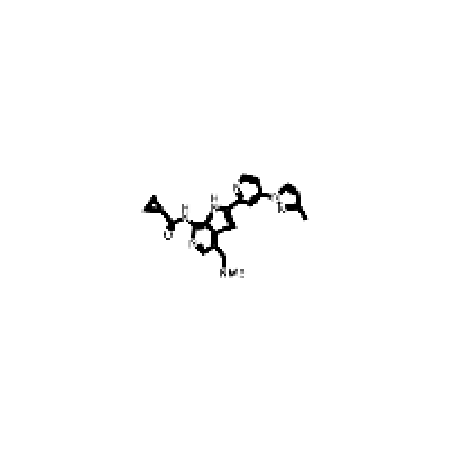 CNCc1cnc(NC(=O)C2CC2)c2[nH]c(-c3cc(-n4ccc(C)n4)ccn3)cc12